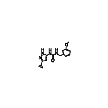 COc1cccc(CNC(=O)Nc2cc(C3CC3)n[nH]2)c1